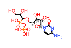 Nc1ccn([C@@H]2O[C@H](COC(C(O)CO)P(=O)(O)OP(=O)(O)O)[C@@H](O)[C@H]2O)c(=O)n1